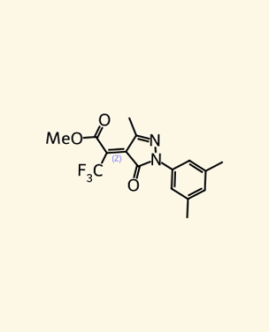 COC(=O)/C(=C1/C(=O)N(c2cc(C)cc(C)c2)N=C1C)C(F)(F)F